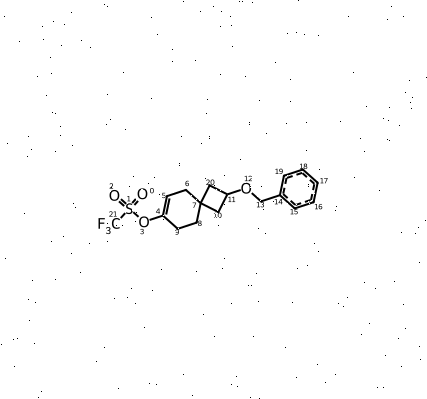 O=S(=O)(OC1=CCC2(CC1)CC(OCc1ccccc1)C2)C(F)(F)F